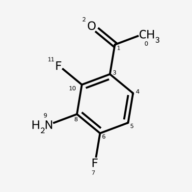 CC(=O)c1ccc(F)c(N)c1F